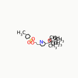 Cc1ccc(S(=O)(=O)OCCc2ccc(C(C)O[Si](C)(C)C(C)(C)C)cn2)cc1